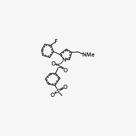 CNCc1cc(-c2ccccc2F)n(S(=O)(=O)c2cccc(S(C)(=O)=O)c2)c1